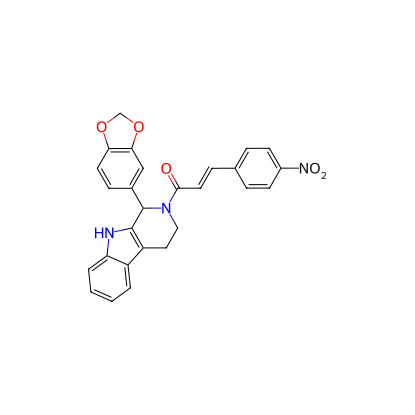 O=C(/C=C/c1ccc([N+](=O)[O-])cc1)N1CCc2c([nH]c3ccccc23)C1c1ccc2c(c1)OCO2